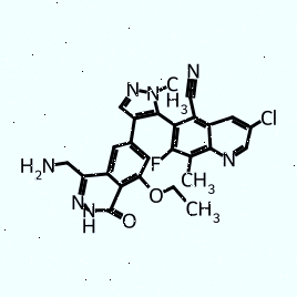 CCOc1cc(-c2cnn(C)c2-c2c(F)c(C)c3ncc(Cl)cc3c2C#N)cc2c(CN)n[nH]c(=O)c12